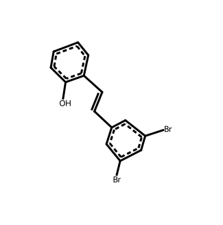 Oc1ccccc1C=Cc1cc(Br)cc(Br)c1